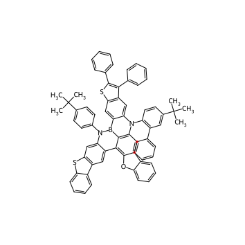 CC(C)(C)c1ccc(N2B3c4cc5sc(-c6ccccc6)c(-c6ccccc6)c5cc4N(c4ccc(C(C)(C)C)cc4-c4ccccc4)c4cc5c(oc6ccccc65)c(c43)-c3cc4c(cc32)sc2ccccc24)cc1